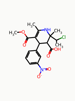 COC(=O)C1=C(C)NC(C)(C(C)Cl)C(C(=O)O)C1c1cccc([N+](=O)[O-])c1